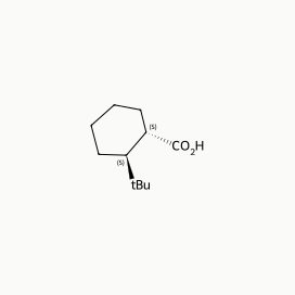 CC(C)(C)[C@H]1CCCC[C@@H]1C(=O)O